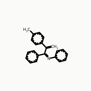 C=C(C(=Nc1ccccc1)c1ccccc1)c1ccc(C)cc1